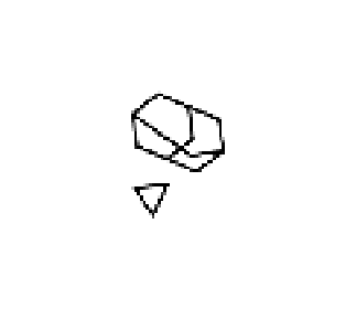 C1C2CC3CC1CC(C2)C3.C1CC1